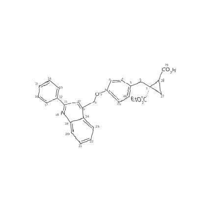 CCOC(=O)[C@@]1(Cc2ccc(OCc3cc(-c4ccccc4)nc4ccccc34)cc2)CC1C(=O)O